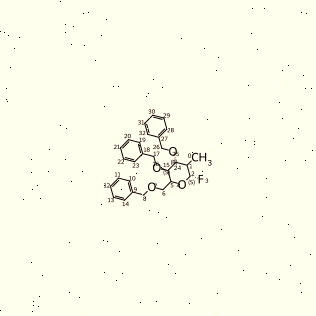 CC1[C@H](F)OC(COCc2ccccc2)[C@@H](OCc2ccccc2)[C@@H]1OCc1ccccc1